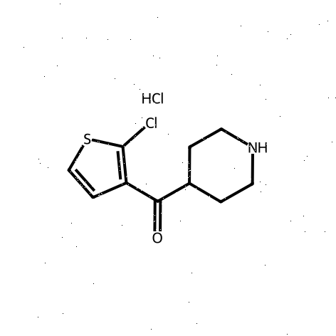 Cl.O=C(c1ccsc1Cl)C1CCNCC1